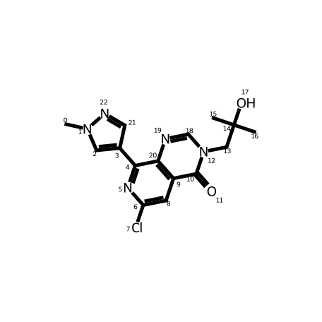 Cn1cc(-c2nc(Cl)cc3c(=O)n(CC(C)(C)O)cnc23)cn1